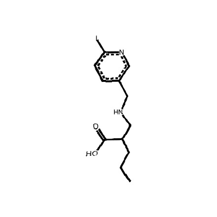 CCCC(CNCc1ccc(I)nc1)C(=O)O